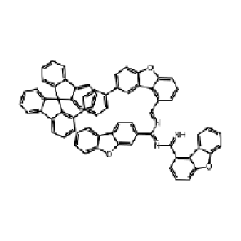 N=C(/N=C(\N=C\c1cccc2oc3ccc(-c4ccc(-c5cccc6c5C5(c7ccccc7-c7ccccc75)c5ccccc5-6)cc4)cc3c12)c1ccc2c(c1)oc1ccccc12)c1cccc2oc3ccccc3c12